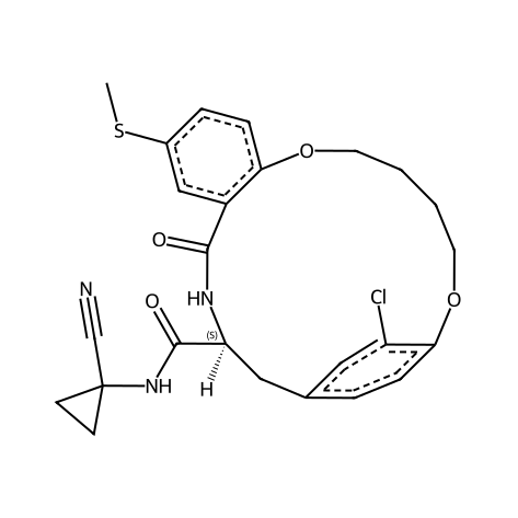 CSc1ccc2c(c1)C(=O)N[C@H](C(=O)NC1(C#N)CC1)Cc1ccc(c(Cl)c1)OCCCCO2